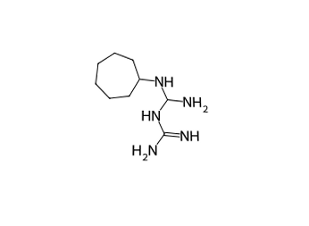 N=C(N)NC(N)NC1CCCCCC1